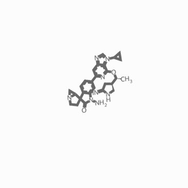 C[C@@H](Oc1nc(-c2ccc3c(c2)N(N)C(=O)C32CCN3CC32)cc2ncn(C3CC3)c12)[C@H]1CNC(=N)C1